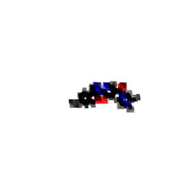 Cc1cc(C#N)ccc1-c1cnn(-c2ccc(C(=O)N3CCN(C)[C@H](C)C3)cn2)c1O